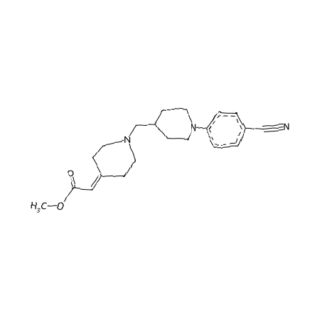 COC(=O)C=C1CCN(CC2CCN(c3ccc(C#N)cc3)CC2)CC1